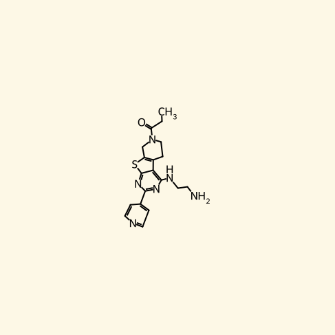 CCC(=O)N1CCc2c(sc3nc(-c4ccncc4)nc(NCCN)c23)C1